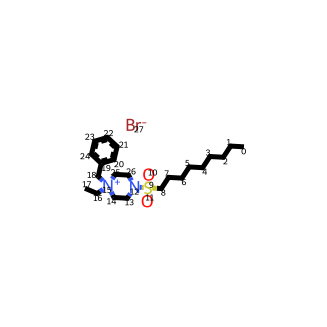 CCCCCCCCCS(=O)(=O)N1CC[N+](CC)(Cc2ccccc2)CC1.[Br-]